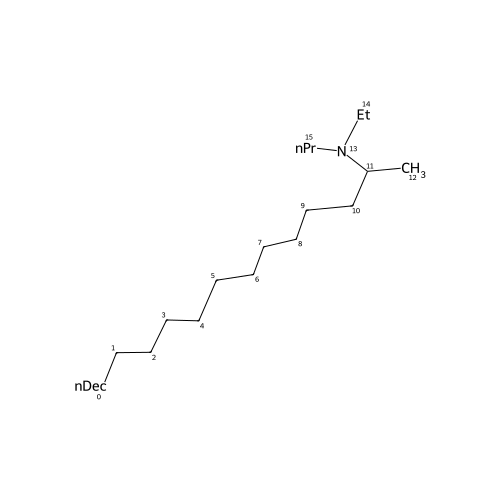 CCCCCCCCCCCCCCCCCCCCC(C)N(CC)CCC